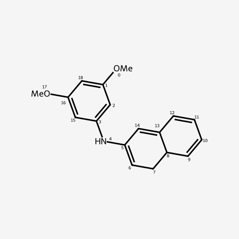 COc1cc(NC2=CCC3C=CC=CC3=C2)cc(OC)c1